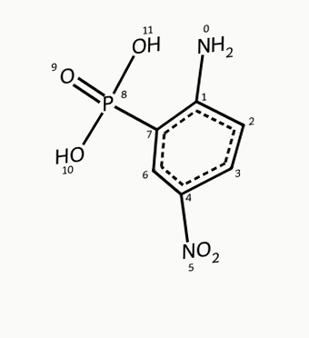 Nc1ccc([N+](=O)[O-])cc1P(=O)(O)O